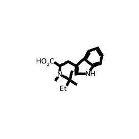 CCC(C)(C)N(C)C(Cc1c[nH]c2ccccc12)C(=O)O